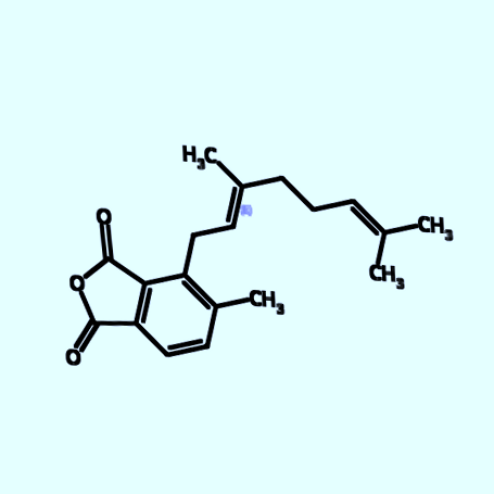 CC(C)=CCC/C(C)=C/Cc1c(C)ccc2c1C(=O)OC2=O